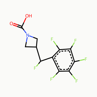 O=C(O)N1CC(C(F)c2c(F)c(F)c(F)c(F)c2F)C1